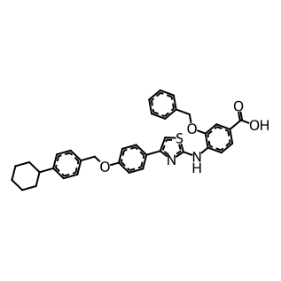 O=C(O)c1ccc(Nc2nc(-c3ccc(OCc4ccc(C5CCCCC5)cc4)cc3)cs2)c(OCc2ccccc2)c1